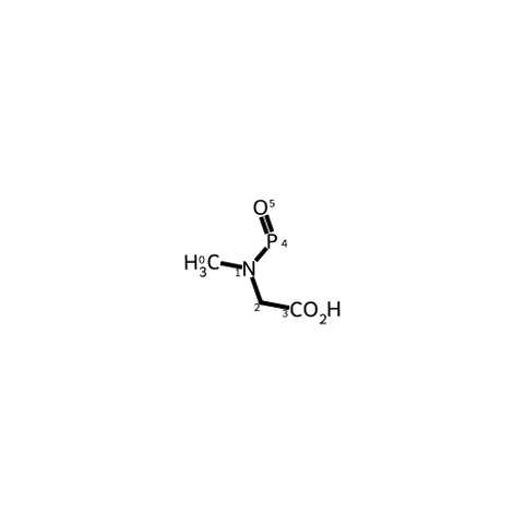 CN(CC(=O)O)P=O